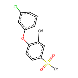 CCS(=O)(=O)c1ccc(Oc2c[c]cc(Cl)c2)c(C#N)c1